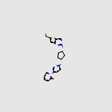 O=c1ccccn1-c1ccc(N[C@H]2CC[C@H](Nc3ncc4sc(CO)cc4n3)C2)nc1